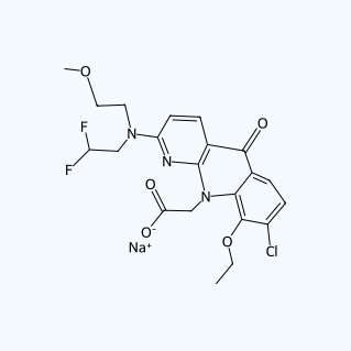 CCOc1c(Cl)ccc2c(=O)c3ccc(N(CCOC)CC(F)F)nc3n(CC(=O)[O-])c12.[Na+]